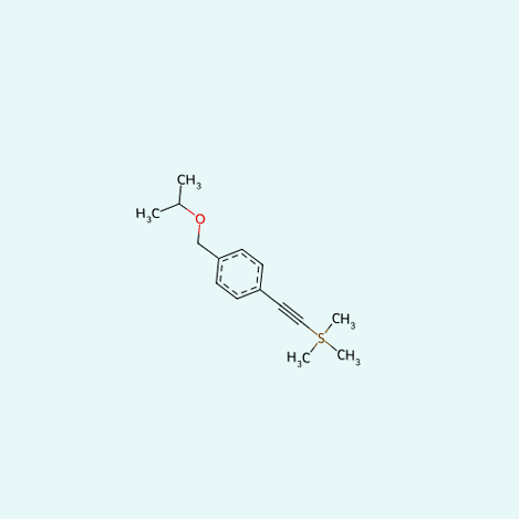 CC(C)OCc1ccc(C#CS(C)(C)C)cc1